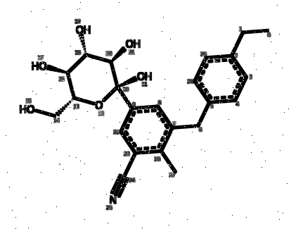 CCc1ccc(Cc2cc([C@]3(O)O[C@H](CO)[C@@H](O)[C@H](O)[C@H]3O)cc(C#N)c2C)cc1